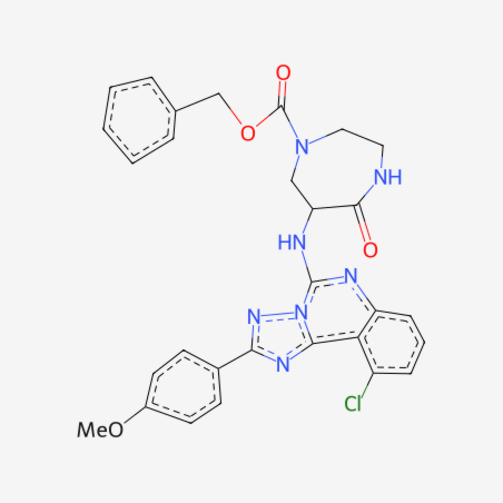 COc1ccc(-c2nc3c4c(Cl)cccc4nc(NC4CN(C(=O)OCc5ccccc5)CCNC4=O)n3n2)cc1